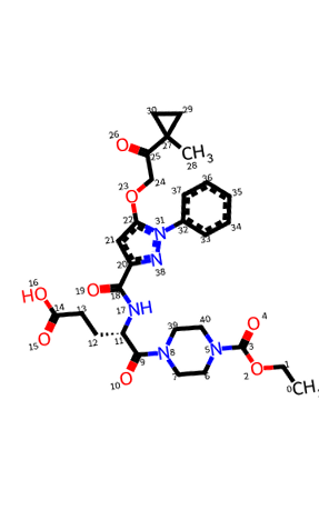 CCOC(=O)N1CCN(C(=O)[C@H](CCC(=O)O)NC(=O)c2cc(OCC(=O)C3(C)CC3)n(-c3ccccc3)n2)CC1